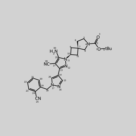 CC(C)(C)OC(=O)N1CC[C@]2(C1)C[C@H](n1nc(-c3cnn(Cc4ccccc4C#N)c3)c(C#N)c1N)C2